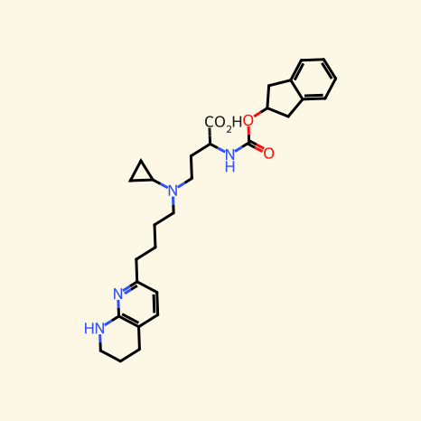 O=C(NC(CCN(CCCCc1ccc2c(n1)NCCC2)C1CC1)C(=O)O)OC1Cc2ccccc2C1